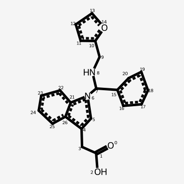 O=C(O)Cc1cn(C(NCc2ccco2)c2ccccc2)c2ccccc12